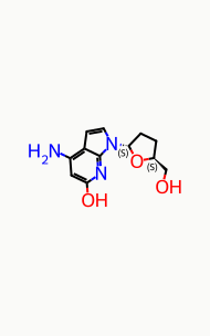 Nc1cc(O)nc2c1ccn2[C@@H]1CC[C@@H](CO)O1